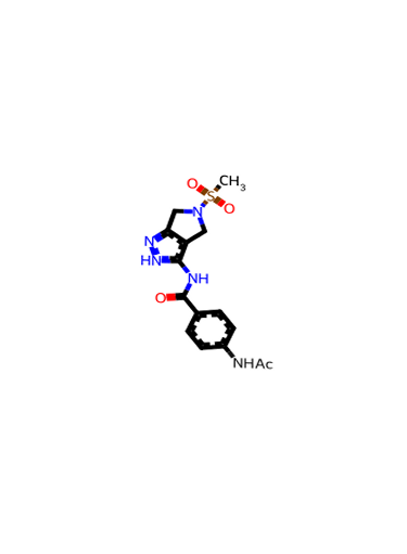 CC(=O)Nc1ccc(C(=O)Nc2[nH]nc3c2CN(S(C)(=O)=O)C3)cc1